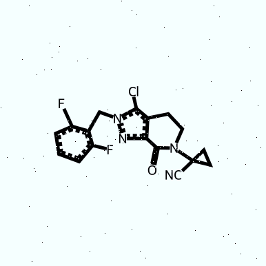 N#CC1(N2CCc3c(nn(Cc4c(F)cccc4F)c3Cl)C2=O)CC1